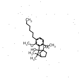 CCCCCCc1ccc(OC)c(C2(O)C3(C)CCC(C3)C2(C)C)c1OC